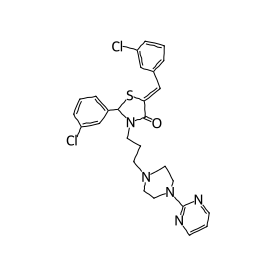 O=C1C(=Cc2cccc(Cl)c2)SC(c2cccc(Cl)c2)N1CCCN1CCN(c2ncccn2)CC1